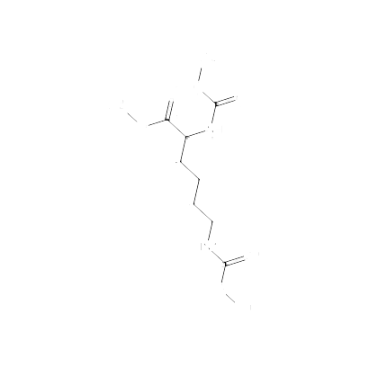 CCCOC(=O)NCCCCC(NC(=O)OCCC)C(=O)OCCC